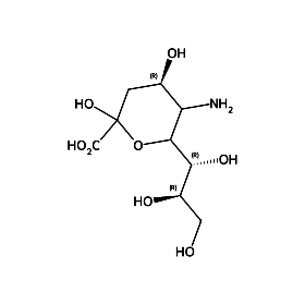 NC1C([C@H](O)[C@H](O)CO)OC(O)(C(=O)O)C[C@H]1O